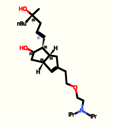 CCCC[C@](C)(O)C/C=C/[C@@H]1[C@H]2CC(CCOCCN(C(C)C)C(C)C)=C[C@H]2C[C@H]1O